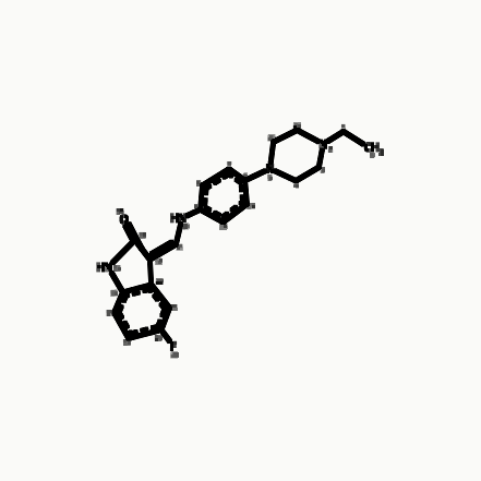 CCN1CCN(c2ccc(NC=C3C(=O)Nc4ccc(F)cc43)cc2)CC1